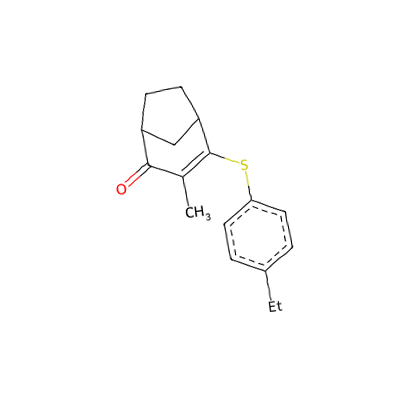 CCc1ccc(SC2=C(C)C(=O)C3CCC2C3)cc1